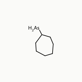 [AsH2]C1CCCCCC1